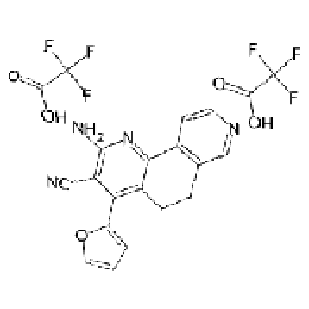 N#Cc1c(N)nc2c(c1-c1ccco1)CCc1cnccc1-2.O=C(O)C(F)(F)F.O=C(O)C(F)(F)F